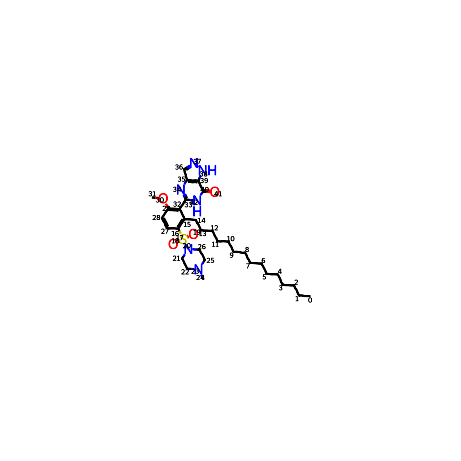 CCCCCCCCCCCCCCCc1c(S(=O)(=O)N2CCN(C)CC2)ccc(OC)c1-c1nc2cn[nH]c2c(=O)[nH]1